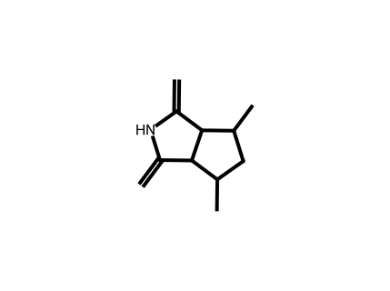 C=C1NC(=C)C2C(C)CC(C)C12